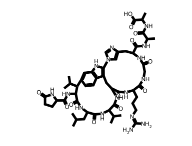 CC(C)CC1NC(=O)C(NC(=O)C2CCC(=O)N2)C(C(C)C)c2ccc3c4c([nH]c3c2)-n2cnc(c2)CC(C(=O)NC(C)C(=O)NC(C)C(=O)O)NC(=O)CNC(=O)C(CCCN=C(N)N)NC(=O)C(C4)NC(=O)C(C(C)C)NC1=O